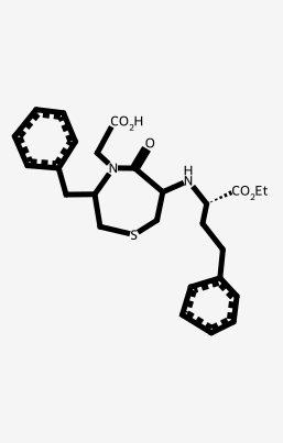 CCOC(=O)[C@H](CCc1ccccc1)NC1CSCC(Cc2ccccc2)N(CC(=O)O)C1=O